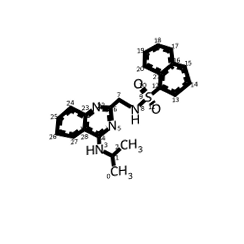 CC(C)Nc1nc(CNS(=O)(=O)c2cccc3ccccc23)nc2ccccc12